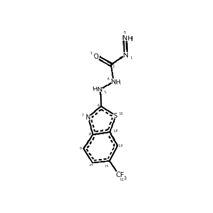 N=NC(=O)NNc1nc2ccc(C(F)(F)F)cc2s1